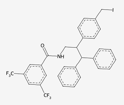 O=C(NCC(c1ccc(CI)cc1)C(c1ccccc1)c1ccccc1)c1cc(C(F)(F)F)cc(C(F)(F)F)c1